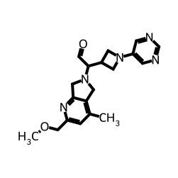 COCc1cc(C)c2c(n1)CN(C(C=O)C1CN(c3cncnc3)C1)C2